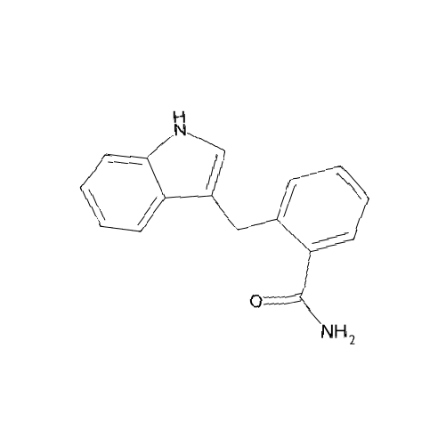 NC(=O)c1ccccc1Cc1c[nH]c2ccccc12